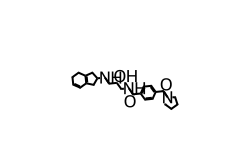 O=C(NCC(O)CNC1CC2=C(CCC=C2)C1)c1ccc(C(=O)N2CCCC2)cc1